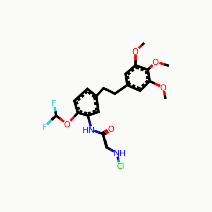 COc1cc(CCc2ccc(OC(F)F)c(NC(=O)CNCl)c2)cc(OC)c1OC